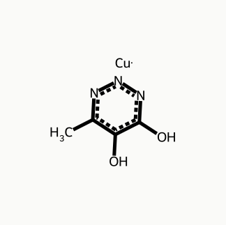 Cc1nnnc(O)c1O.[Cu]